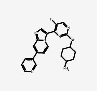 NC1CCC(Nc2ncc(F)c(-c3cnc4cc(-c5cccnc5)ccn34)n2)CC1